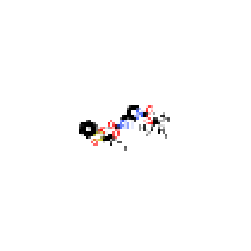 CC(C)(C)OC(=O)N1CCC(CNC(=O)OC(C)(C)CS(=O)(=O)c2ccccc2)C1